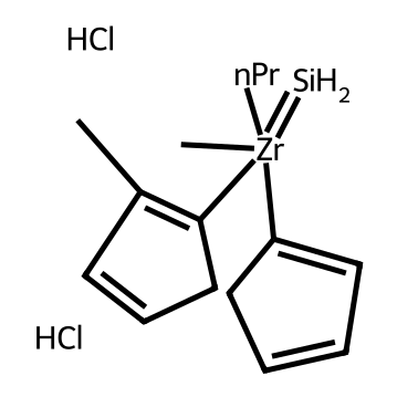 CC[CH2][Zr]([CH3])(=[SiH2])([C]1=CC=CC1)[C]1=C(C)C=CC1.Cl.Cl